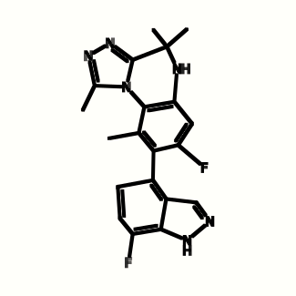 Cc1c(-c2ccc(F)c3[nH]ncc23)c(F)cc2c1-n1c(C)nnc1C(C)(C)N2